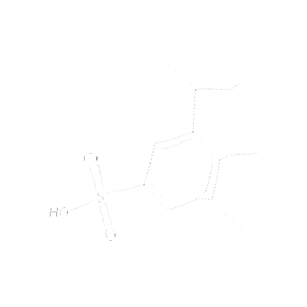 Cc1cc(S(=O)(=O)O)cc(C(C)C)c1C